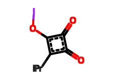 CC(C)c1c(OI)c(=O)c1=O